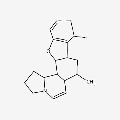 CC1CC2C3=C(C=CCC3I)OC2C2C1C=CN1CCCC21